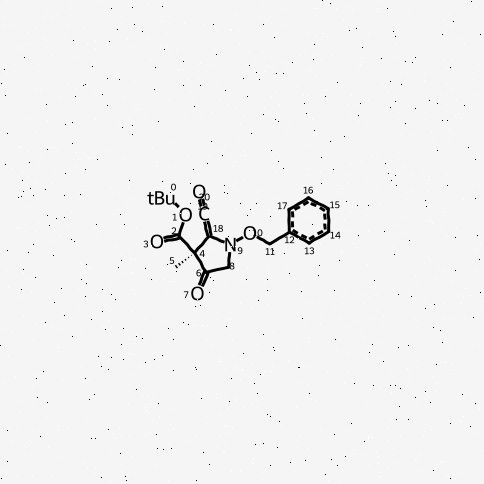 CC(C)(C)OC(=O)[C@]1(C)C(=O)CN(OCc2ccccc2)C1=C=O